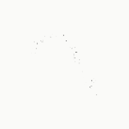 Cn1cc(NC(=O)c2nccn2C)nc1C(=O)NCCC(=O)Nc1cn(C)c(C(=O)Nc2cn(C)c(C(=O)NCCC(=O)Nc3cn(C)c(C(=O)Nc4cn(C)c(C(=O)NCCC(=O)NCCOCCNC(=O)C5CC(=O)N(CCC67CC8CC9CC(C6)C87C9)/C(=N/c6ccc(Cl)cc6)S5)n4)n3)n2)n1